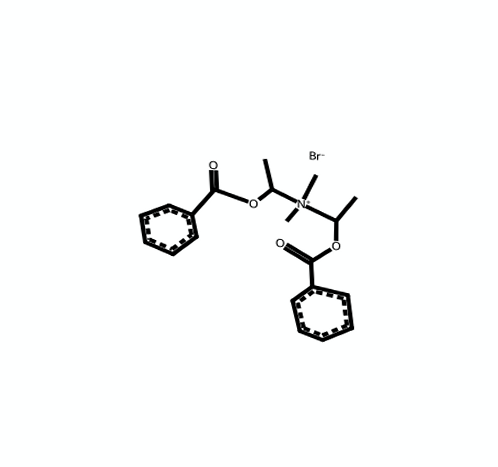 CC(OC(=O)c1ccccc1)[N+](C)(C)C(C)OC(=O)c1ccccc1.[Br-]